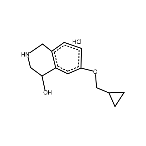 Cl.OC1CNCc2ccc(OCC3CC3)cc21